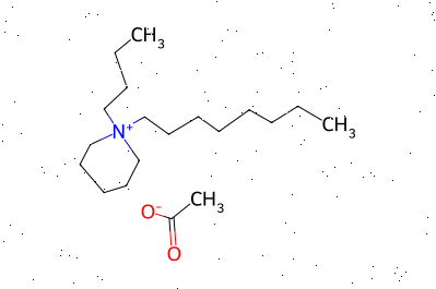 CC(=O)[O-].CCCCCCCC[N+]1(CCCC)CCCCC1